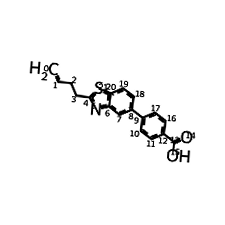 C=CCCc1nc2cc(-c3ccc(C(=O)O)cc3)ccc2s1